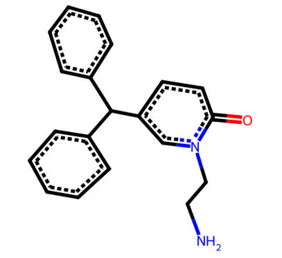 NCCn1cc(C(c2ccccc2)c2ccccc2)ccc1=O